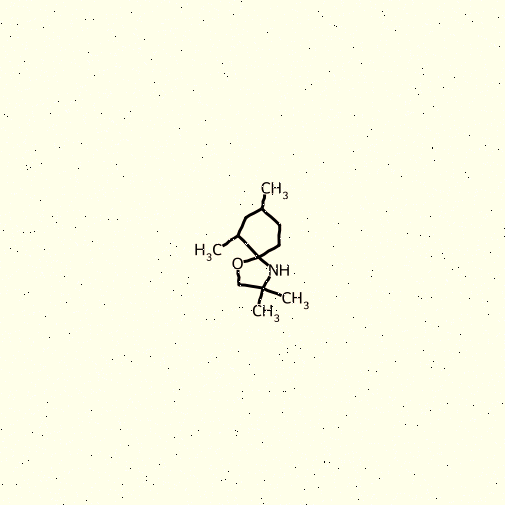 CC1CCC2(NC(C)(C)CO2)C(C)C1